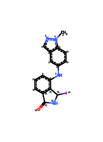 Cn1ncc2cc(Nc3cccc4c3C(I)NC4=O)ccc21